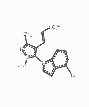 Cc1nn(C)c(-n2ccc3c(Cl)cccc32)c1/C=C/C(=O)O